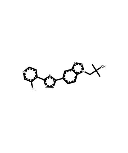 CC(C)(O)Cn1nnc2cc(-c3noc(-c4ccncc4C(F)(F)F)n3)ccc21